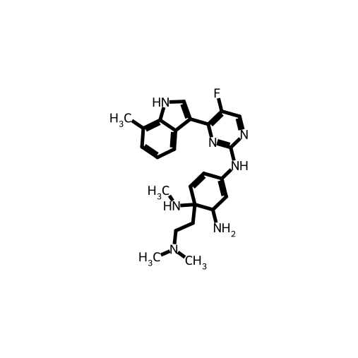 CNC1(CCN(C)C)C=CC(Nc2ncc(F)c(-c3c[nH]c4c(C)cccc34)n2)=CC1N